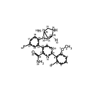 COc1cccc(F)c1-c1ncc(-c2cc(F)ccc2N2C[C@H]3C[C@@H]2CN3)c(C(N)=O)n1